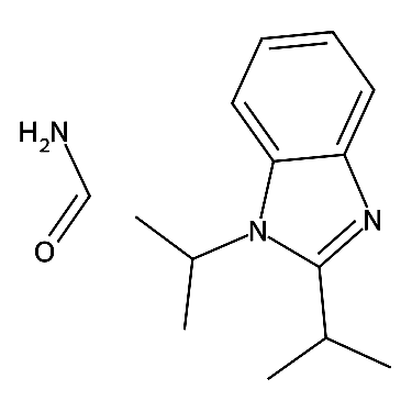 CC(C)c1nc2ccccc2n1C(C)C.NC=O